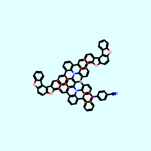 N#Cc1ccc(N(c2ccccc2)c2ccc3c(c2)N(c2c(-c4ccccc4)cccc2-c2ccccc2)c2cc(-c4ccc5c(c4)oc4ccc6oc7ccccc7c6c45)cc4c2B3c2ccc(-c3cccc5c3oc3ccc6oc7ccccc7c6c35)cc2N4c2c(-c3ccccc3)cccc2-c2ccccc2)cc1